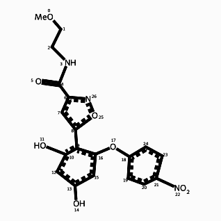 COCCNC(=O)c1cc(-c2c(O)cc(O)cc2Oc2ccc([N+](=O)[O-])cc2)on1